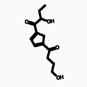 CCC(O)C(=O)C1=CC=C(C(=O)CCCO)C1